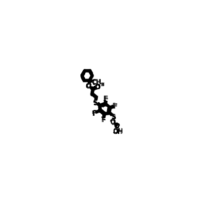 CC1(OC(=O)CCSc2c(F)c(F)c(SOOO)c(F)c2F)CCCCC1